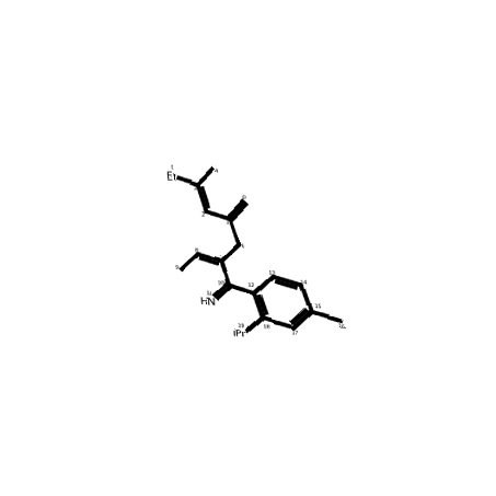 C=C(/C=C(\C)CC)C/C(=C/C)C(=N)c1ccc(C)cc1C(C)C